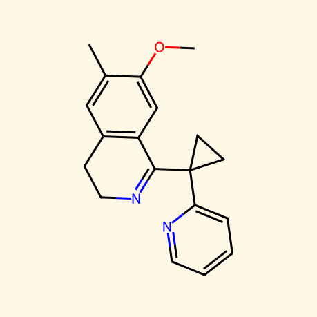 COc1cc2c(cc1C)CCN=C2C1(c2ccccn2)CC1